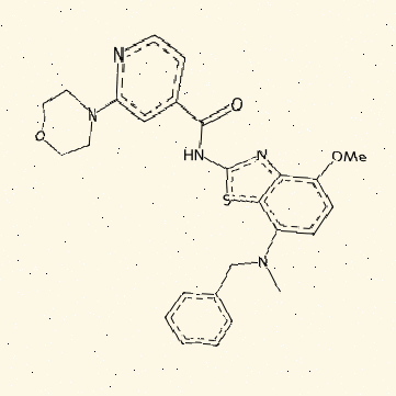 COc1ccc(N(C)Cc2ccccc2)c2sc(NC(=O)c3ccnc(N4CCOCC4)c3)nc12